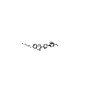 CCCCCCc1ccc(OC(=O)c2ccc(-c3ccc(CC)cn3)cc2)c(F)c1